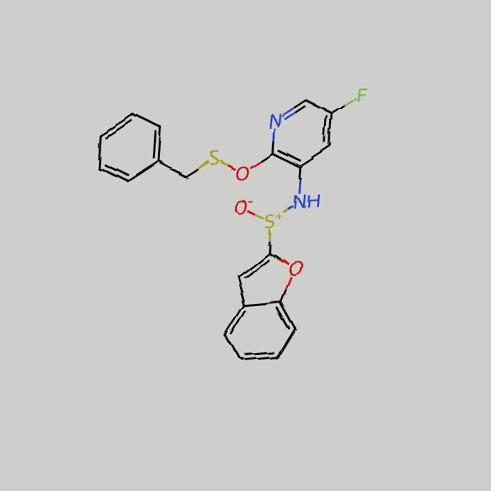 [O-][S+](Nc1cc(F)cnc1OSCc1ccccc1)c1cc2ccccc2o1